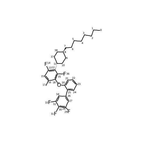 CCCCCCCC[C@H]1CC[C@H](c2c(F)cc(C)c(Oc3ccccc3-c3cc(F)c(F)c(F)c3)c2F)CC1